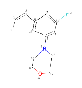 C/C=C\c1cc(F)cc(N2CCOCC2)c1